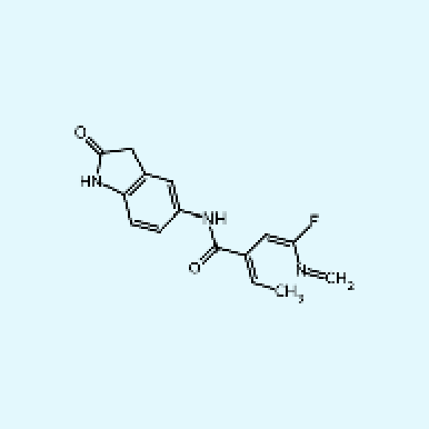 C=N/C(F)=C\C(=C/C)C(=O)Nc1ccc2c(c1)CC(=O)N2